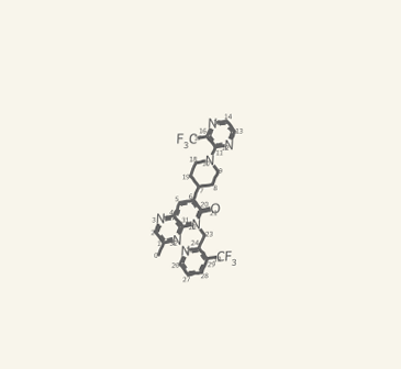 Cc1cnc2cc(C3CCN(c4nccnc4C(F)(F)F)CC3)c(=O)n(Cc3ncccc3C(F)(F)F)c2n1